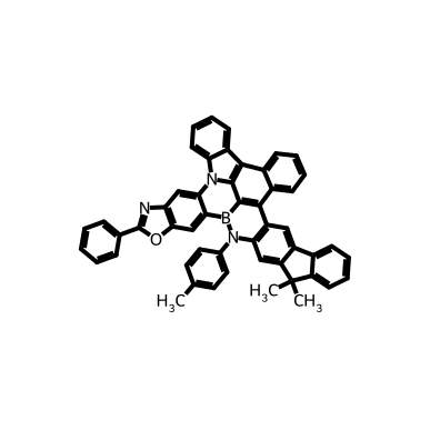 Cc1ccc(N2B3c4cc5oc(-c6ccccc6)nc5cc4-n4c5ccccc5c5c6ccccc6c(c3c54)-c3cc4c(cc32)C(C)(C)c2ccccc2-4)cc1